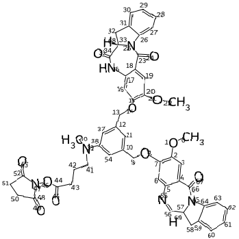 COc1cc2c(cc1OCc1cc(COc3cc4c(cc3OC)C(=O)N3c5ccccc5C[C@H]3C(=O)N4)cc(N(C)CCCC(=O)ON3C(=O)CCC3=O)c1)N=C[C@@H]1Cc3ccccc3N1C2=O